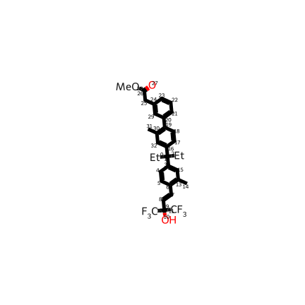 CCC(CC)(c1ccc(/C=C/C(O)(C(F)(F)F)C(F)(F)F)c(C)c1)c1ccc(-c2cccc(CC(=O)OC)c2)c(C)c1